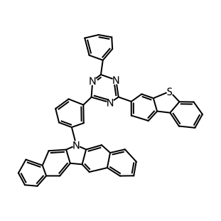 c1ccc(-c2nc(-c3cccc(-n4c5cc6ccccc6cc5c5cc6ccccc6cc54)c3)nc(-c3ccc4c(c3)sc3ccccc34)n2)cc1